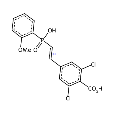 COc1ccccc1P(=O)(O)/C=C/c1cc(Cl)c(C(=O)O)c(Cl)c1